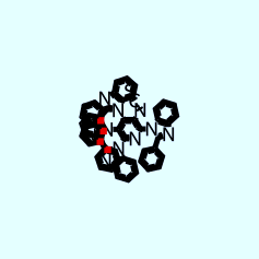 S=C=Nc1c(-n2c(-c3ccccc3)nc3ccccc32)nc(-n2c(-c3ccccc3)nc3ccccc32)c(-n2c(-c3ccccc3)nc3ccccc32)c1-n1c(-c2ccccc2)nc2ccccc21